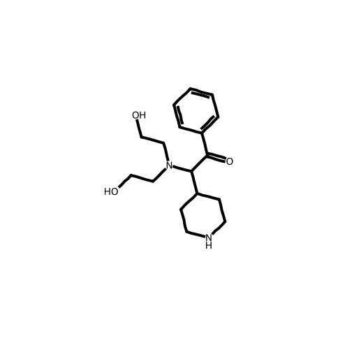 O=C(c1ccccc1)C(C1CCNCC1)N(CCO)CCO